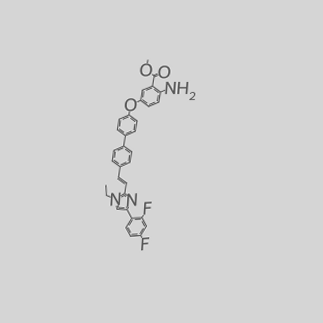 CCn1cc(-c2ccc(F)cc2F)nc1/C=C/c1ccc(-c2ccc(Oc3ccc(N)c(C(=O)OC)c3)cc2)cc1